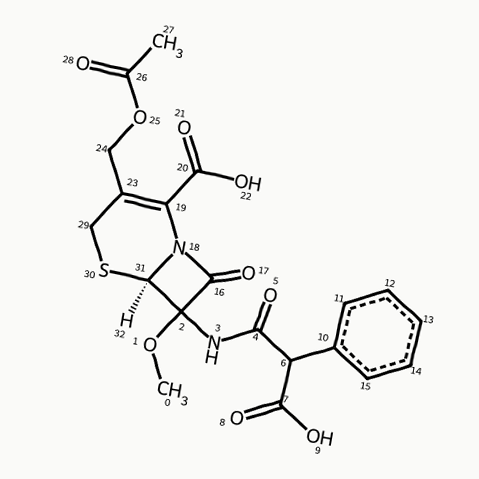 COC1(NC(=O)C(C(=O)O)c2ccccc2)C(=O)N2C(C(=O)O)=C(COC(C)=O)CS[C@@H]21